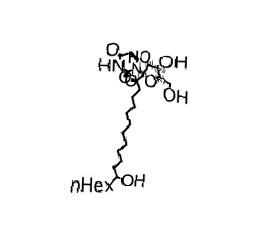 CCCCCCC(O)CCCCCCCCCCC(=O)[C@@]1(n2ccc(=O)[nH]c2=O)O[C@H](CO)[C@@H](O)[C@H]1O